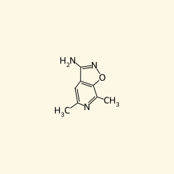 Cc1cc2c(N)noc2c(C)n1